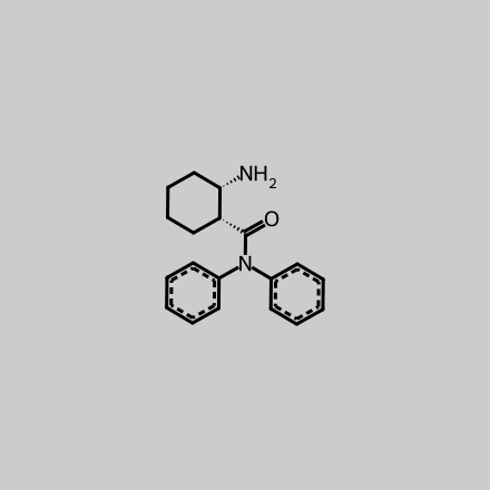 N[C@H]1CCCC[C@H]1C(=O)N(c1ccccc1)c1ccccc1